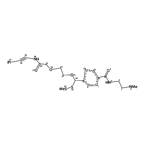 CNCCNC(=O)c1ccc(C(OCCOCC(=O)NC#CC(C)C)SSC)cc1